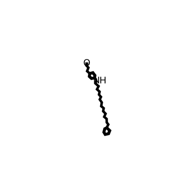 O=CCCc1ccc(NCCCCCCCCCCCCCCCCc2ccccc2)cc1